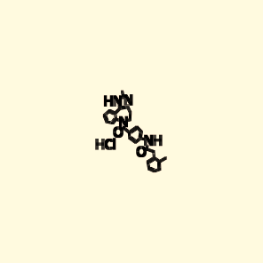 Cc1nc2c([nH]1)-c1ccccc1N(C(=O)c1ccc(NC(=O)Cc3ccccc3C)cc1)CC2.Cl